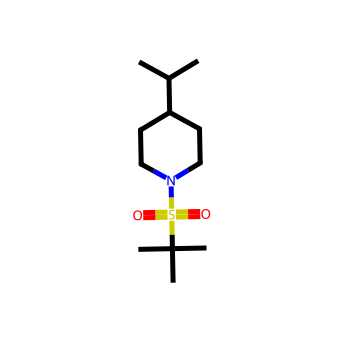 CC(C)C1CCN(S(=O)(=O)C(C)(C)C)CC1